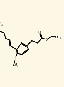 CCCCC=Cc1cc(CCC(=O)OCC)ccc1OC